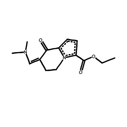 CCOC(=O)c1ccc2n1CC/C(=C/N(C)C)C2=O